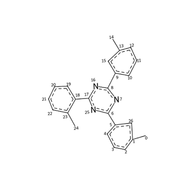 Cc1cccc(-c2nc(-c3cccc(C)c3)nc(-c3ccccc3C)n2)c1